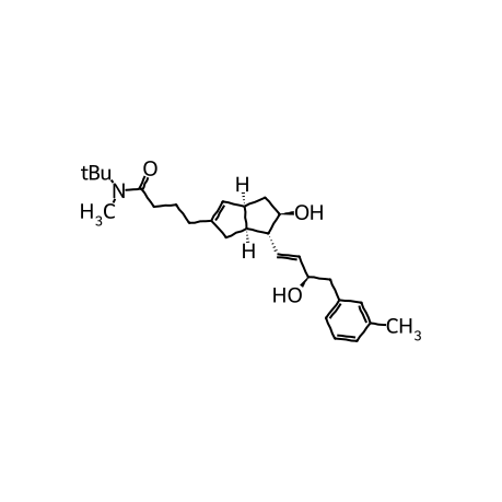 Cc1cccc(C[C@@H](O)/C=C/[C@@H]2[C@H]3CC(CCCC(=O)N(C)C(C)(C)C)=C[C@H]3C[C@H]2O)c1